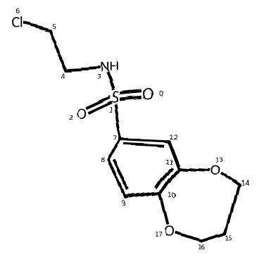 O=S(=O)(NCCCl)c1ccc2c(c1)OCCCO2